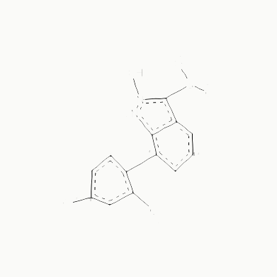 Cn1nc2c(-c3ccc(Cl)cc3Cl)cccc2c1[S+]([O-])Cl